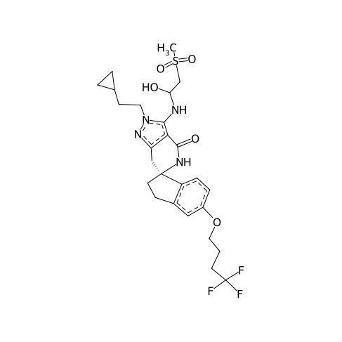 CS(=O)(=O)CC(O)Nc1c2c(nn1CCC1CC1)C[C@]1(CCc3cc(OCCCC(F)(F)F)ccc31)NC2=O